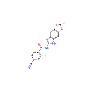 N#Cc1ccc(C(=O)Nc2nc3cc4c(cc3[nH]2)OC(F)(F)O4)c(F)c1